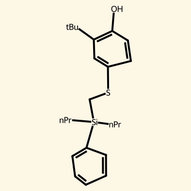 CCC[Si](CCC)(CSc1ccc(O)c(C(C)(C)C)c1)c1ccccc1